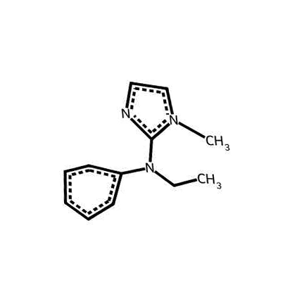 CCN(c1ccccc1)c1nccn1C